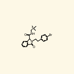 C[Si](C)(C)CNC(=O)C1c2ccccc2C(=O)N1CCc1ccc(Br)cc1